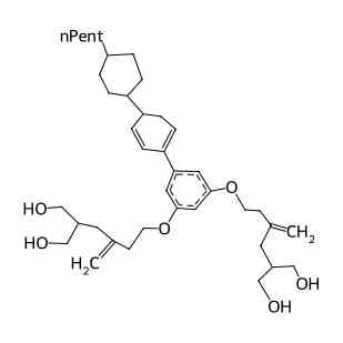 C=C(CCOc1cc(OCCC(=C)CC(CO)CO)cc(C2=CCC(C3CCC(CCCCC)CC3)C=C2)c1)CC(CO)CO